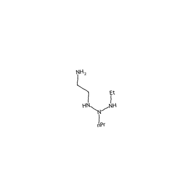 CCCN(NCC)NCCN